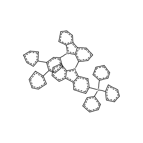 c1ccc(-c2ccc(-n3c4ccccc4c4cccc(-n5c6ccccc6c6ccc([Si](c7ccccc7)(c7ccccc7)c7ccccc7)cc65)c43)cc2-c2ccccc2)cc1